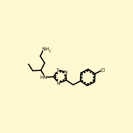 CCC(CCN)Nc1nc(Cc2ccc(Cl)cc2)ns1